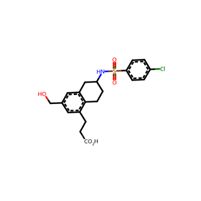 O=C(O)CCc1cc(CO)cc2c1CCC(NS(=O)(=O)c1ccc(Cl)cc1)C2